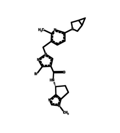 Cc1nc(N2CC3CC3C2)ccc1Cn1cc(C(=O)N[C@@H]2CCc3c2ncn3C)c(Br)n1